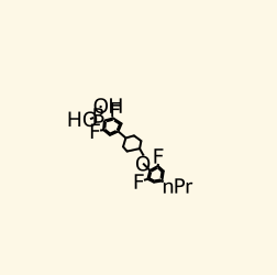 CCCc1cc(F)c(OCC2CCC(c3cc(F)c(B(O)O)c(F)c3)CC2)c(F)c1